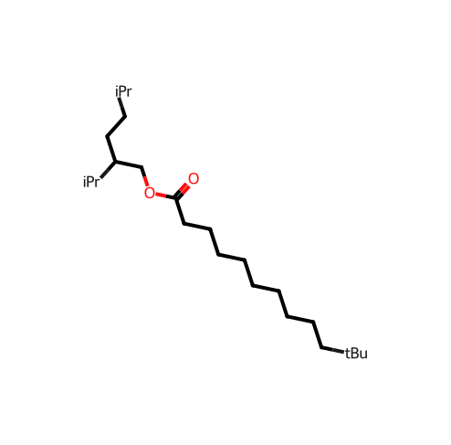 CC(C)CCC(COC(=O)CCCCCCCCCC(C)(C)C)C(C)C